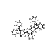 c1ccc(-n2c3ccccc3c3ccc(-c4cc5cc6c(cc5c5ccccc45)c4ccccc4n6-c4ccccc4)cc32)cc1